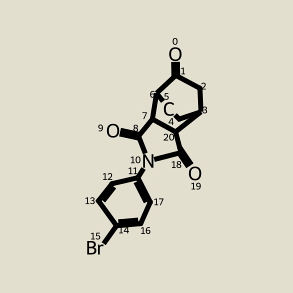 O=C1CC2CCC1C1C(=O)N(c3ccc(Br)cc3)C(=O)C21